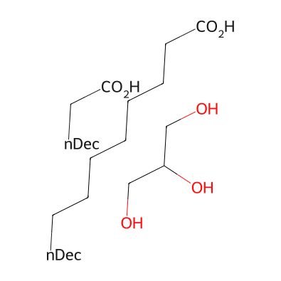 CCCCCCCCCCCC(=O)O.CCCCCCCCCCCCCCCCCC(=O)O.OCC(O)CO